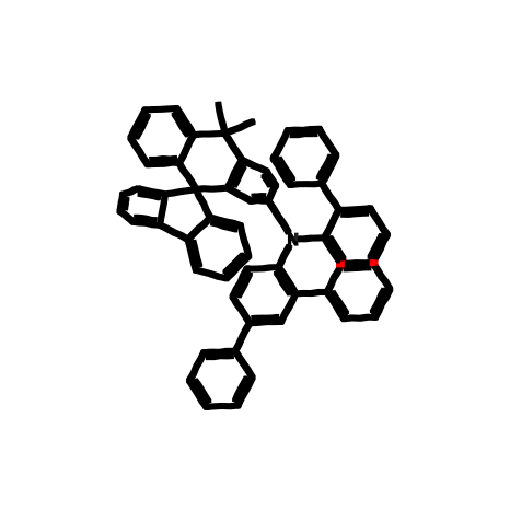 CC1(C)c2ccccc2C2(c3ccccc3-c3ccccc32)c2cc(N(c3ccccc3-c3ccccc3)c3ccc(-c4ccccc4)cc3-c3ccccc3)ccc21